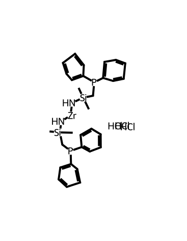 C[Si](C)(CP(c1ccccc1)c1ccccc1)[NH][Zr][NH][Si](C)(C)CP(c1ccccc1)c1ccccc1.Cl.Cl.Cl